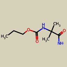 CCCOC(=O)NC(C)(C)C([NH])=O